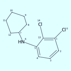 Clc1cccc(NC2CCCCC2)c1Cl